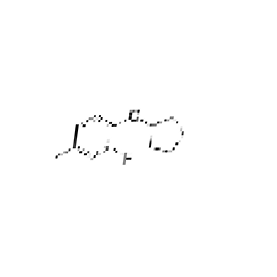 Cc1ccc(OC2CCCC2)c(F)c1